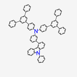 c1ccc(-c2cc(-c3ccccc3)cc(-c3ccc(N(c4ccc(-c5cc(-c6ccccc6)cc(-c6ccccc6)c5)cc4)c4cccc(-c5cccc6c5c5ccccc5n6-c5ccccc5)c4)cc3)c2)cc1